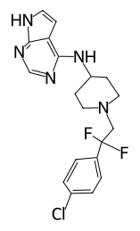 FC(F)(CN1CCC(Nc2ncnc3[nH]ccc23)CC1)c1ccc(Cl)cc1